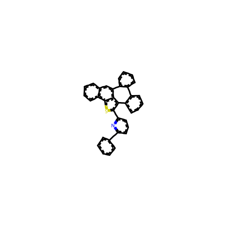 c1ccc(-c2cccc(-c3sc4c5c(cc6ccccc64)-c4ccccc4-c4ccccc4-c35)n2)cc1